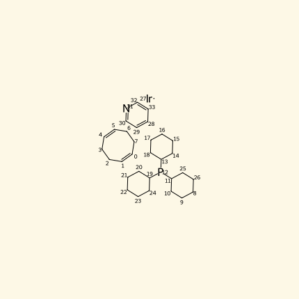 C1=C\CC/C=C\CC/1.C1CCC(P(C2CCCCC2)C2CCCCC2)CC1.[Ir].c1ccncc1